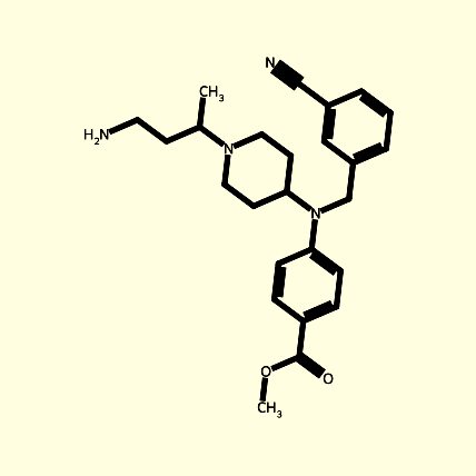 COC(=O)c1ccc(N(Cc2cccc(C#N)c2)C2CCN(C(C)CCN)CC2)cc1